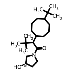 CC(C)(C)C1CCCC(C(C(=O)N2CC[C@@H](O)C2)C(C)(C)C)CCC1